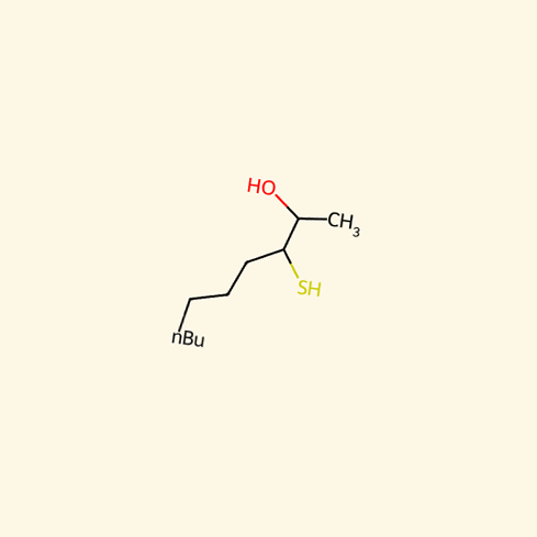 CCCCCCCC(S)C(C)O